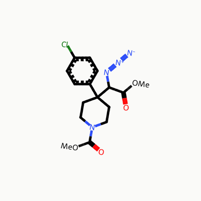 COC(=O)C(N=[N+]=[N-])C1(c2ccc(Cl)cc2)CCN(C(=O)OC)CC1